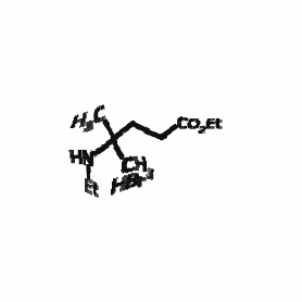 Br.CCNC(C)(C)CCC(=O)OCC